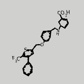 O=C(O)C1=CC=CC(NCc2ccc(OCc3cc(-c4ccccc4)c(C(F)(F)F)s3)cc2)C1